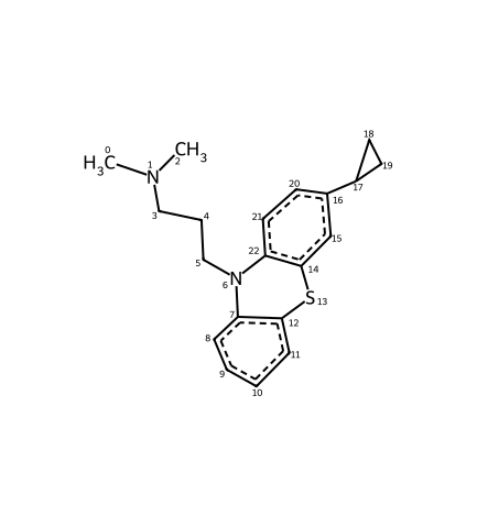 CN(C)CCCN1c2ccccc2Sc2cc(C3CC3)ccc21